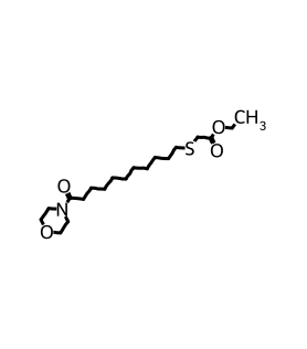 CCOC(=O)CSCCCCCCCCCCC(=O)N1CCOCC1